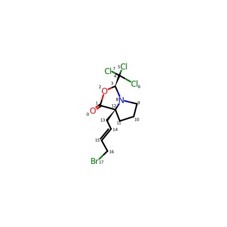 O=C1O[C@@H](C(Cl)(Cl)Cl)N2CCC[C@]12C/C=C/CBr